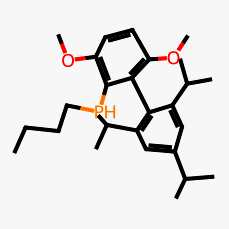 CCCCPc1c(OC)ccc(OC)c1-c1c(C(C)C)cc(C(C)C)cc1C(C)C